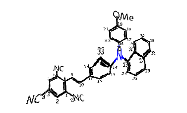 [C-]#[N+]c1cc(C#N)cc([N+]#[C-])c1C=Cc1ccc(N(c2ccc(OC)cc2)c2cccc3ccccc23)cc1